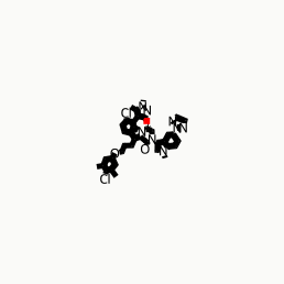 Cc1cc(OCCCc2c3n(c4c(-c5c(C)nn(C)c5C)c(Cl)ccc24)[C@H](C)CN(c2cn(C)c4ccc(-n5nccn5)cc24)C3=O)cc(C)c1Cl